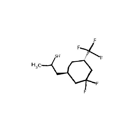 CC(S)C[C@H]1C[C@H](C(F)(F)F)CC(F)(F)C1